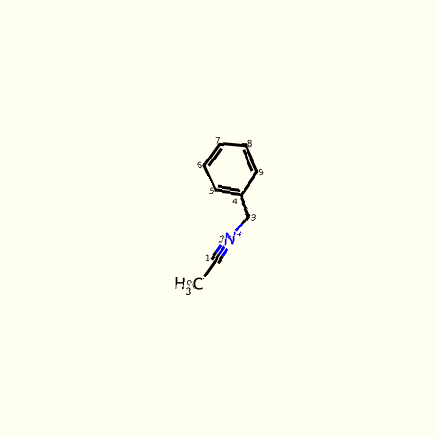 CC#[N+]Cc1ccccc1